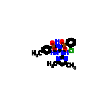 Cc1ccc(S(=O)(=O)NN(C(=N)Nc2nc(C)cc(C)n2)S(=O)(=O)c2ccccc2Cl)cc1